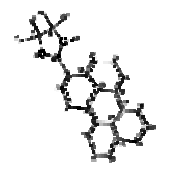 CC1(C)OB(c2ccc3c4cccc5cccc(c6cccc2c63)c54)OC1(C)C